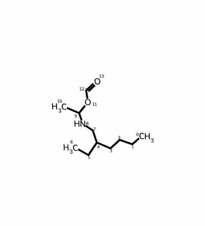 CCCCC(CC)CNC(C)O[C]=O